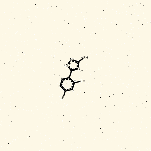 Fc1ccc(-c2nnc(S)o2)c(F)c1